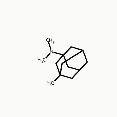 CN(C)C12CC3CC(CC(O)(C3)C1)C2